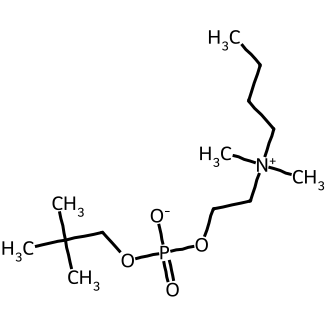 CCCC[N+](C)(C)CCOP(=O)([O-])OCC(C)(C)C